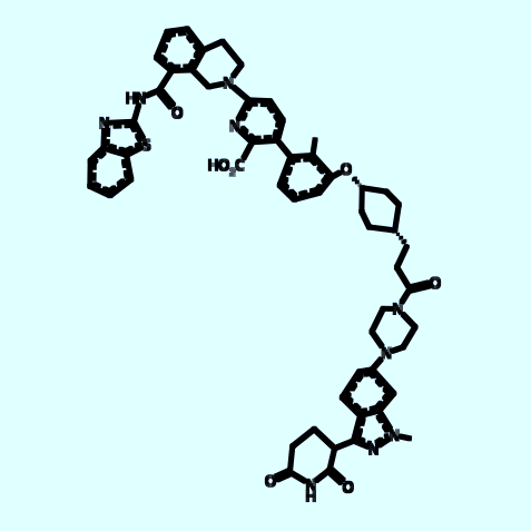 Cc1c(O[C@H]2CC[C@@H](CCC(=O)N3CCN(c4ccc5c(C6CCC(=O)NC6=O)nn(C)c5c4)CC3)CC2)cccc1-c1ccc(N2CCc3cccc(C(=O)Nc4nc5ccccc5s4)c3C2)nc1C(=O)O